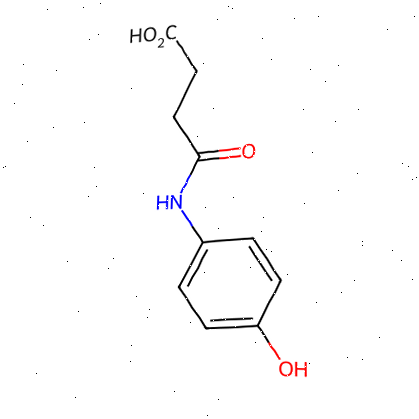 O=C(O)CCC(=O)Nc1ccc(O)cc1